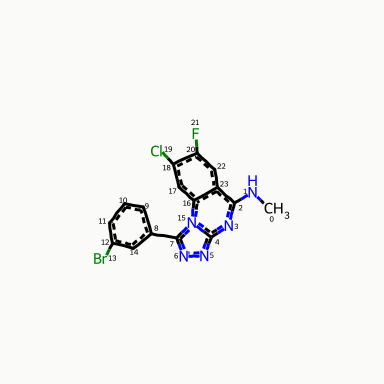 CNc1nc2nnc(-c3cccc(Br)c3)n2c2cc(Cl)c(F)cc12